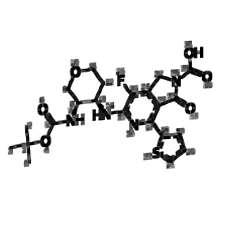 CC(C)(C)OC(=O)N[C@H]1COCC[C@H]1Nc1nc(-c2cccs2)c2c(c1F)CN(C(=O)O)C2=O